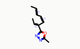 C/C=C/C=C\C(=C/C)c1nnc(C)o1